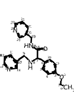 CCOc1ccc(C(NCc2cccnc2)C(=O)NCc2cccnc2)cc1